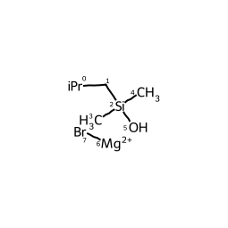 CC(C)C[Si](C)(C)O.[Mg+2][Br]